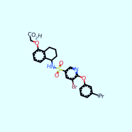 CC(C)c1cccc(Oc2ncc(S(=O)(=O)NC3CCCc4c(OCC(=O)O)cccc43)cc2Br)c1